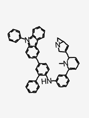 CN1C(c2cccc(Nc3ccc(-c4ccc5c(c4)c4ccccc4n5-c4ccccc4)cc3-c3ccccc3)c2)=CC=CC1C1=CC2CN2C1